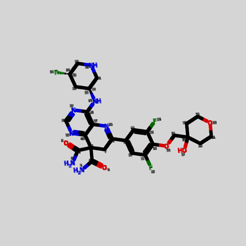 NC(=O)C1(C(N)=O)CC(c2cc(F)c(OCC3(O)CCOCC3)c(F)c2)=Nc2c(N[C@@H]3CNC[C@@H](F)C3)ncnc21